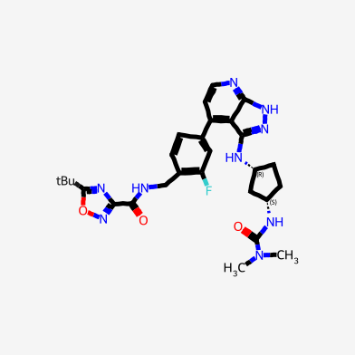 CN(C)C(=O)N[C@H]1CC[C@@H](Nc2n[nH]c3nccc(-c4ccc(CNC(=O)c5noc(C(C)(C)C)n5)c(F)c4)c23)C1